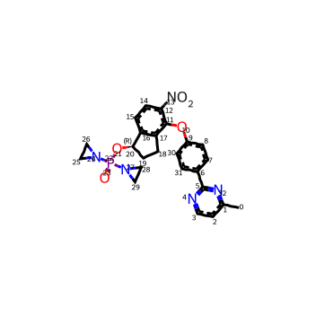 Cc1ccnc(-c2ccc(Oc3c([N+](=O)[O-])ccc4c3CC[C@H]4OP(=O)(N3CC3)N3CC3)cc2)n1